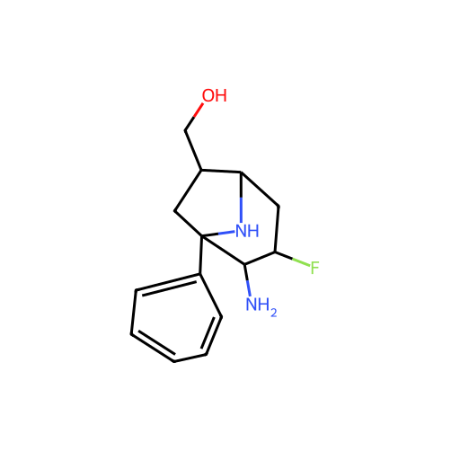 NC1C(F)CC2NC1(c1ccccc1)CC2CO